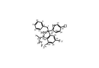 CC(C)N(C)C(=O)N[C@@](Cc1ccccc1)(c1cc(F)cc(C(F)(F)F)c1)c1ccc(Cl)cn1